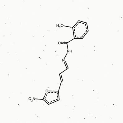 Cc1ccccc1C(=O)NN=CC=Cc1ccc([N+](=O)[O-])o1